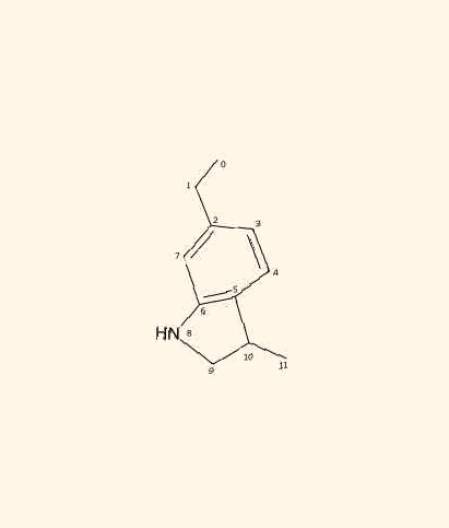 CCc1ccc2c(c1)NCC2C